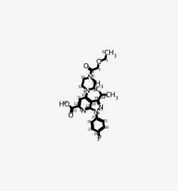 CCOCC(=O)N1CCN(c2cc(C(=O)O)nc3c2c(C(C)C)nn3-c2ccc(F)cc2)CC1